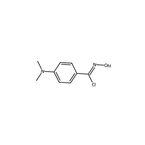 CN(C)c1ccc(/C(Cl)=N/O)cc1